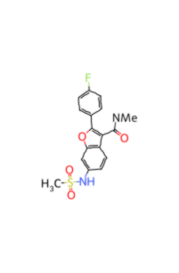 CNC(=O)c1c(-c2ccc(F)cc2)oc2cc(NS(C)(=O)=O)ccc12